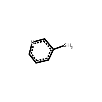 [SiH3]c1cccnc1